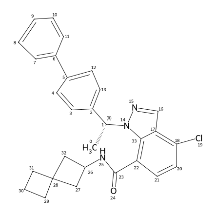 C[C@H](c1ccc(-c2ccccc2)cc1)n1ncc2c(Cl)ccc(C(=O)NC3CC4(CCC4)C3)c21